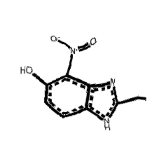 Cc1nc2c([N+](=O)[O-])c(O)ccc2[nH]1